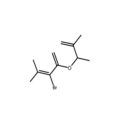 C=C(OC(C)C(=C)C)C(Br)=C(C)C